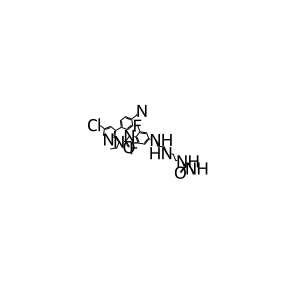 CCN1C(=O)N(c2c(F)cc(NCCNCCNC(=O)NC)cc2F)c2cc(C#N)ccc2-c2cc(Cl)cnc21